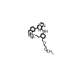 CCCc1cc(Nc2nc(-c3ccc4cn[nH]c4c3)cn3ccnc23)ccc1COCCOC